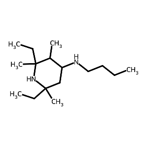 CCCCNC1CC(C)(CC)NC(C)(CC)C1C